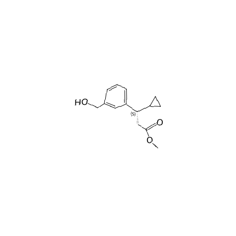 COC(=O)C[C@H](c1cccc(CO)c1)C1CC1